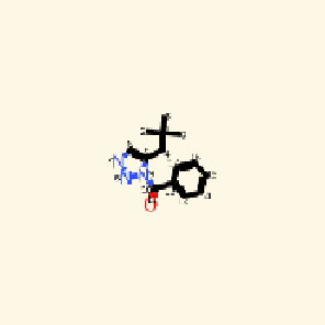 CC(C)(C)Cc1cnnn1C(=O)c1ccccc1